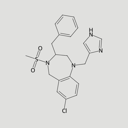 CS(=O)(=O)N1Cc2cc(Cl)ccc2N(Cc2c[nH]cn2)CC1Cc1ccccc1